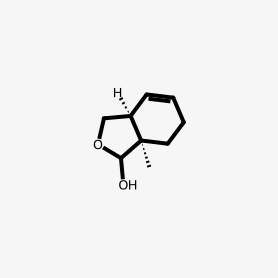 C[C@@]12CCC=C[C@@H]1COC2O